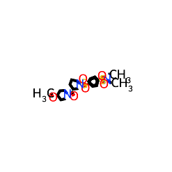 CCN(CC)S(=O)(=O)c1ccc(S(=O)(=O)N2CCC[C@@H](C(=O)N3CCC(OC)CC3)C2)cc1